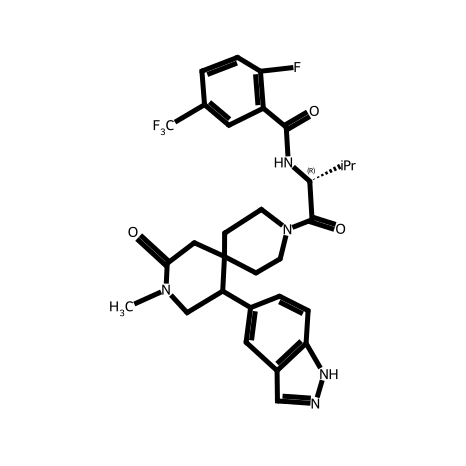 CC(C)[C@@H](NC(=O)c1cc(C(F)(F)F)ccc1F)C(=O)N1CCC2(CC1)CC(=O)N(C)CC2c1ccc2[nH]ncc2c1